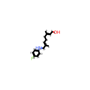 CC(=CCO)CCC=C(C)CNc1ccc(F)cc1